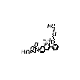 O=C1O[C@H](CO)CN1c1ccc2cc(-c3ccccc3OCCOCCO)[nH]c(=O)c2c1